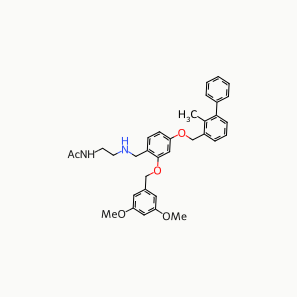 COc1cc(COc2cc(OCc3cccc(-c4ccccc4)c3C)ccc2CNCCNC(C)=O)cc(OC)c1